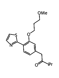 COCCCOc1cc(CC(=O)C(C)C)ccc1-c1nccs1